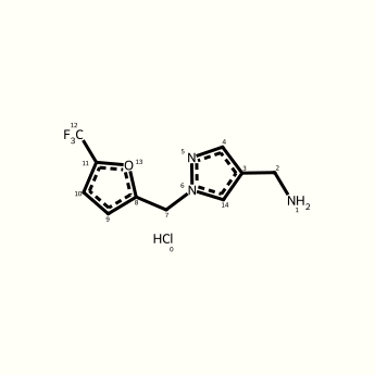 Cl.NCc1cnn(Cc2ccc(C(F)(F)F)o2)c1